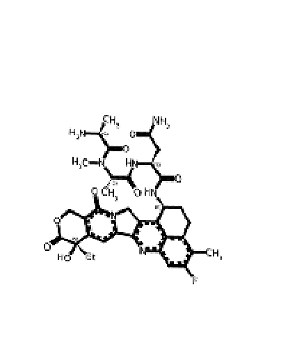 CC[C@@]1(O)C(=O)OCc2c1cc1n(c2=O)Cc2c-1nc1cc(F)c(C)c3c1c2[C@@H](NC(=O)[C@H](CC(N)=O)NC(=O)[C@H](C)N(C)C(=O)[C@H](C)N)CC3